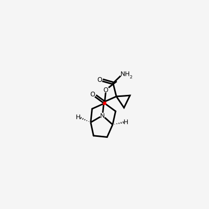 COC1C[C@H]2CC[C@@H](C1)N2C(=O)C1(C(N)=O)CC1